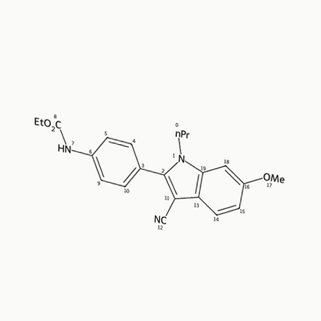 CCCn1c(-c2ccc(NC(=O)OCC)cc2)c(C#N)c2ccc(OC)cc21